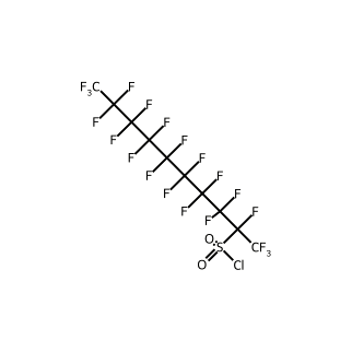 O=S(=O)(Cl)C(F)(C(F)(F)F)C(F)(F)C(F)(F)C(F)(F)C(F)(F)C(F)(F)C(F)(F)C(F)(F)C(F)(F)F